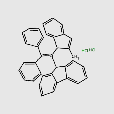 CC1=Cc2ccccc2[CH]1[Zr](=[C](c1ccccc1)c1ccccc1)[CH]1c2ccccc2-c2ccccc21.Cl.Cl